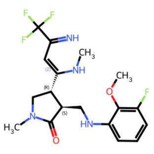 CN/C(=C\C(=N)C(F)(F)F)[C@H]1CN(C)C(=O)[C@@H]1CNc1cccc(F)c1OC